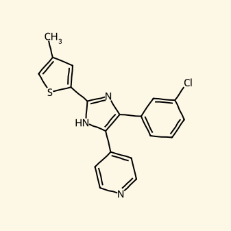 Cc1csc(-c2nc(-c3cccc(Cl)c3)c(-c3ccncc3)[nH]2)c1